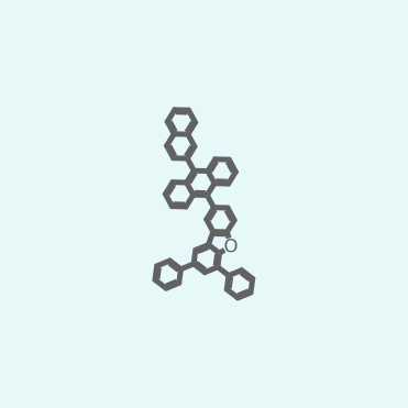 c1ccc(-c2cc(-c3ccccc3)c3oc4ccc(-c5c6ccccc6c(-c6ccc7ccccc7c6)c6ccccc56)cc4c3c2)cc1